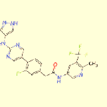 Cc1ncc(NC(=O)Cc2ccc(-c3cnc(Nc4cn[nH]c4)nc3)c(F)c2)cc1C(F)(F)F